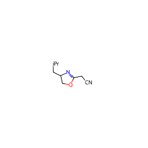 CC(C)CC1COC(CC#N)=N1